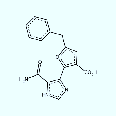 NC(=O)c1[nH]cnc1-c1oc(Cc2ccccc2)cc1C(=O)O